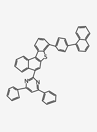 c1ccc(-c2cc(-c3ccccc3)nc(-c3cc4sc5c(-c6ccc(-c7cccc8ccccc78)cc6)cccc5c4c4ccccc34)n2)cc1